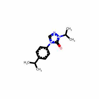 CC(C)c1ccc(-n2cnn(C(C)C)c2=O)cc1